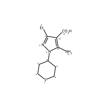 CCc1nn(C2CCSCC2)c(N)c1C(=O)O